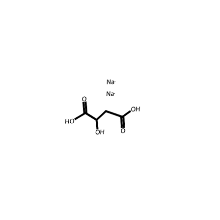 O=C(O)CC(O)C(=O)O.[Na].[Na]